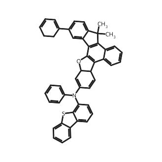 CC1(C)c2ccc(C3=CC=CCC3)cc2-c2c3c(c4ccccc4c21)C1C=CC(N(c2ccccc2)c2cccc4c2sc2ccccc24)=CC1O3